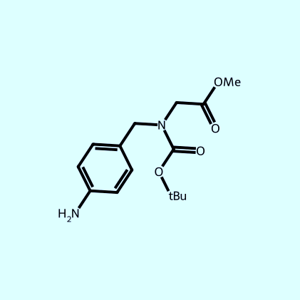 COC(=O)CN(Cc1ccc(N)cc1)C(=O)OC(C)(C)C